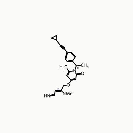 CN/C(=C\C=N)COc1cc(C)n([C@H](C)c2ccc(C#CC3CC3)cc2)c(=O)c1